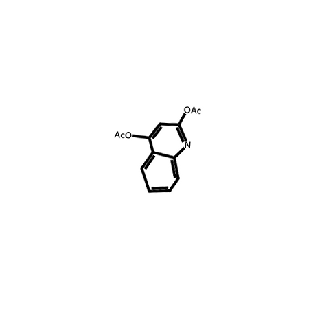 CC(=O)Oc1cc(OC(C)=O)c2ccccc2n1